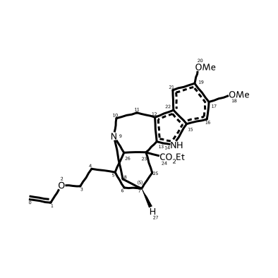 C=COCCC1C[C@@H]2CN3CCc4c([nH]c5cc(OC)c(OC)cc45)C(C(=O)OCC)(C2)C13